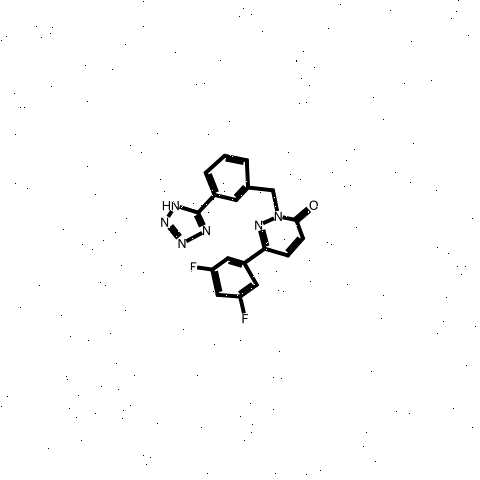 O=c1ccc(-c2cc(F)cc(F)c2)nn1Cc1cccc(-c2nnn[nH]2)c1